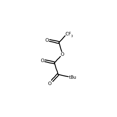 CC(C)(C)C(=O)C(=O)OC(=O)C(F)(F)F